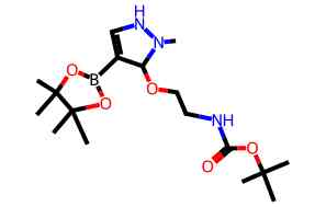 CN1NC=C(B2OC(C)(C)C(C)(C)O2)C1OCCNC(=O)OC(C)(C)C